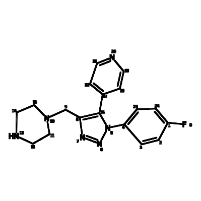 Fc1ccc(-n2nnc(CN3CCNCC3)c2-c2ccncc2)cc1